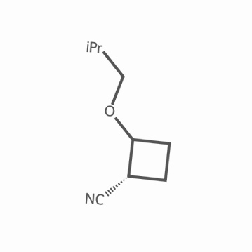 CC(C)COC1CC[C@@H]1C#N